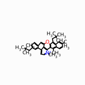 Cc1ccc2c(C)c3c(c(CC(C)(C)C)c2c1)Oc1cc2ccc(CC(C)(C)C)cc2c2cc[n+](C)c-3c12